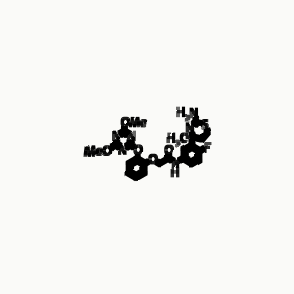 COc1nc(OC)nc(Oc2ccccc2OCC(=O)Nc2ccc(F)c([C@]3(C)CCSC(N)=N3)c2)n1